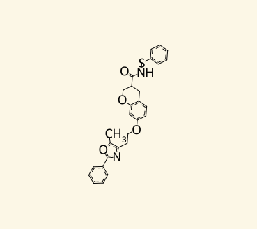 Cc1oc(-c2ccccc2)nc1CCOc1ccc2c(c1)OCC(C(=O)NSc1ccccc1)C2